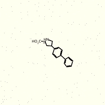 O=C(O)[C@@H]1CC(c2ccc(-c3ccccc3)cc2)CN1